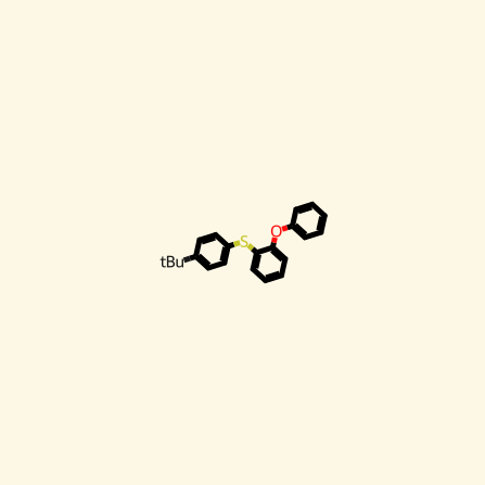 CC(C)(C)c1ccc(Sc2ccccc2Oc2ccccc2)cc1